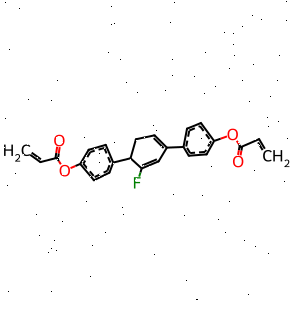 C=CC(=O)Oc1ccc(C2=CCC(c3ccc(OC(=O)C=C)cc3)C(F)=C2)cc1